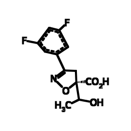 CC(O)[C@]1(C(=O)O)CC(c2cc(F)cc(F)c2)=NO1